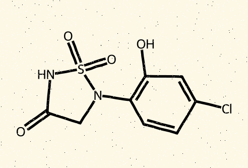 O=C1CN(c2ccc(Cl)cc2O)S(=O)(=O)N1